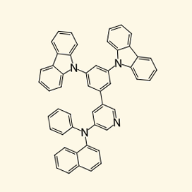 c1ccc(N(c2cncc(-c3cc(-n4c5ccccc5c5ccccc54)cc(-n4c5ccccc5c5ccccc54)c3)c2)c2cccc3ccccc23)cc1